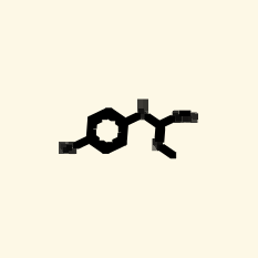 CN=C(Nc1ccc(C#N)cc1)SC